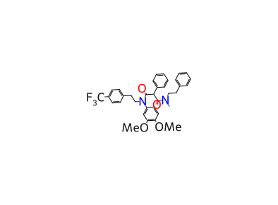 COc1ccc(N(CCc2ccc(C(F)(F)F)cc2)C(=O)C(C(=O)N(C)CCc2ccccc2)c2ccccc2)cc1OC